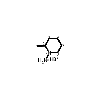 Br.CC1CCCCN1N